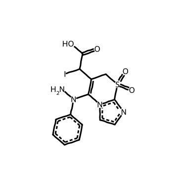 NN(C1=C(C(I)C(=O)O)CS(=O)(=O)c2nccn21)c1ccccc1